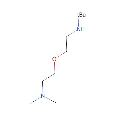 CN(C)CCOCCNC(C)(C)C